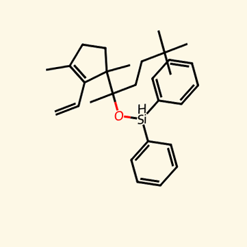 C=CC1=C(C)CCC1(C)C(C)(CCC(C)(C)C)O[SiH](c1ccccc1)c1ccccc1